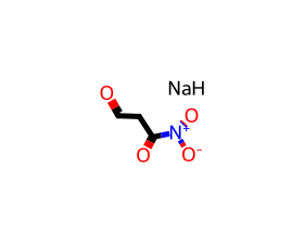 O=CCC(=O)[N+](=O)[O-].[NaH]